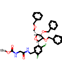 CC(C)(C)OC(=O)NCC(=O)NCc1cc([C@@H]2O[C@H](COCc3ccccc3)[C@H](OCc3ccccc3)C2OCc2ccccc2)c(F)cc1F